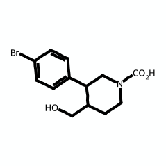 O=C(O)N1CCC(CO)C(c2ccc(Br)cc2)C1